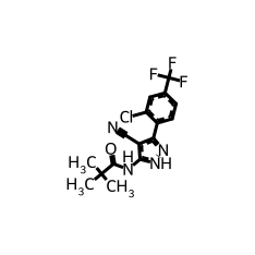 CC(C)(C)C(=O)Nc1[nH]nc(-c2ccc(C(F)(F)F)cc2Cl)c1C#N